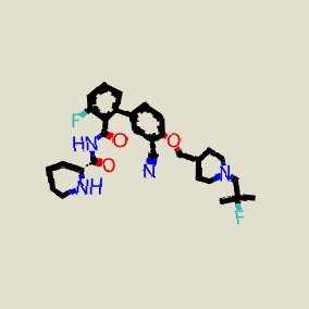 CC(C)(F)CN1CCC(COc2ccc(-c3cccc(F)c3C(=O)NC(=O)[C@H]3CCCCN3)cc2C#N)CC1